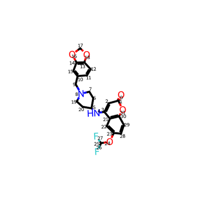 O=c1cc(NC2CCN(Cc3ccc4c(c3)OCO4)CC2)c2cc(OC(F)F)ccc2o1